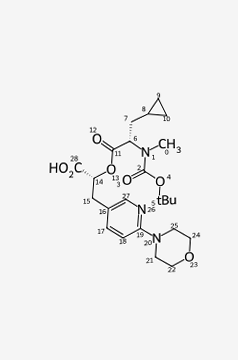 CN(C(=O)OC(C)(C)C)[C@@H](CC1CC1)C(=O)O[C@H](Cc1ccc(N2CCOCC2)nc1)C(=O)O